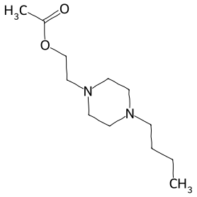 CCCCN1CCN(CCOC(C)=O)CC1